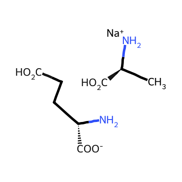 C[C@H](N)C(=O)O.N[C@@H](CCC(=O)O)C(=O)[O-].[Na+]